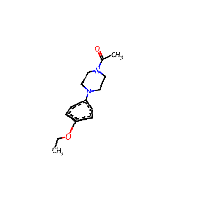 CCOc1ccc(N2CCN(C(C)=O)CC2)cc1